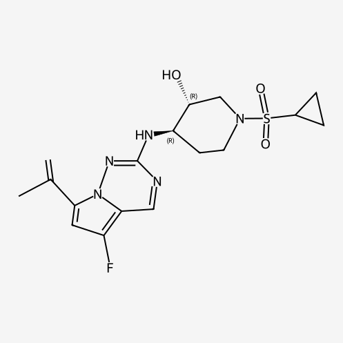 C=C(C)c1cc(F)c2cnc(N[C@@H]3CCN(S(=O)(=O)C4CC4)C[C@H]3O)nn12